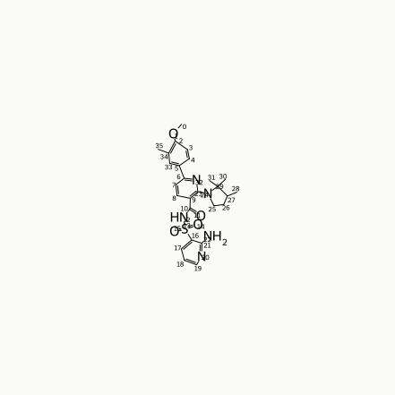 COc1ccc(-c2ccc(C(=O)NS(=O)(=O)c3cccnc3N)c(N3CCC(C)C3(C)C)n2)cc1C